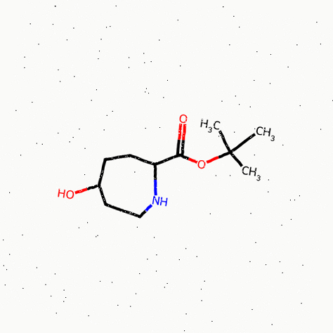 CC(C)(C)OC(=O)C1CCC(O)CCN1